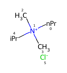 CCC[N+](C)(C)C(C)C.[Cl-]